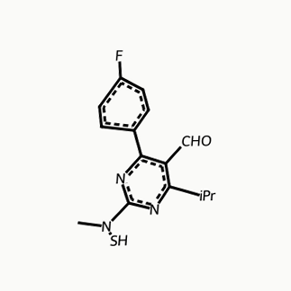 CC(C)c1nc(N(C)S)nc(-c2ccc(F)cc2)c1C=O